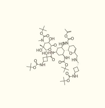 C=C(C)OC(=O)N[C@@H]1CC=C(CNC[C@H]2C[C@H](NC(=O)OC(C)(C)C)C2)OC1[C@H]1[C@H](O)[C@@H](O[C@H]2OC[C@](C)(O)[C@H](N(C)C(=O)OC(C)(C)C)[C@H]2O)[C@H](NC(=O)C2(O)CC(NC(=O)OC(C)(C)C)C2)C[C@@H]1NC(=O)OC(C)(C)C